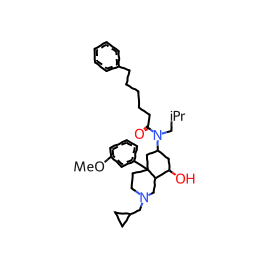 COc1cccc(C23CCN(CC4CC4)CC2C(O)CC(N(CC(C)C)C(=O)CCCCCc2ccccc2)C3)c1